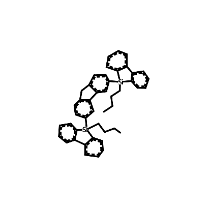 CCCC[Si]1(c2ccc3c(c2)-c2cc([Si]4(CCCC)c5ccccc5-c5ccccc54)ccc2C3)c2ccccc2-c2ccccc21